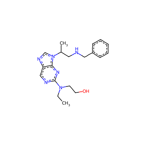 CCN(CCO)c1ncc2ncn(C(C)CNCc3ccccc3)c2n1